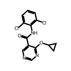 O=C(Nc1c(Cl)cccc1Cl)c1cncnc1OC1CC1